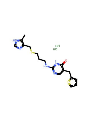 Cc1[nH]cnc1CSCCCNc1ncc(Cc2cccs2)c(=O)[nH]1.Cl.Cl